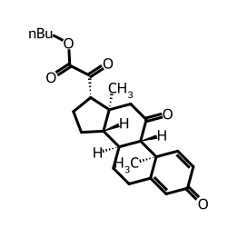 CCCCOC(=O)C(=O)[C@H]1CC[C@H]2[C@@H]3CCC4=CC(=O)C=C[C@]4(C)[C@H]3C(=O)C[C@]12C